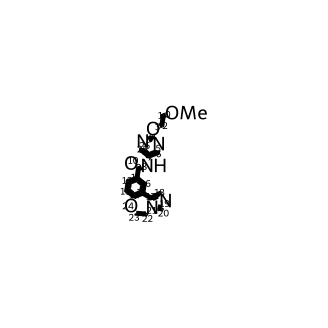 COCCOc1ncc(NC(=O)c2ccc3c(c2)-c2cncn2CCO3)cn1